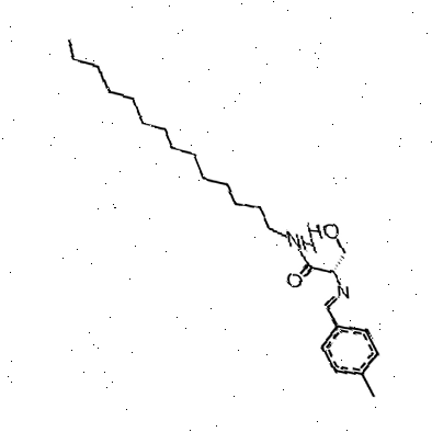 CCCCCCCCCCCCCCNC(=O)[C@H](CO)/N=C/c1ccc(C)cc1